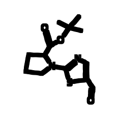 CC(C)(C)OC(=O)C1CCCN1c1ncc(C=O)s1